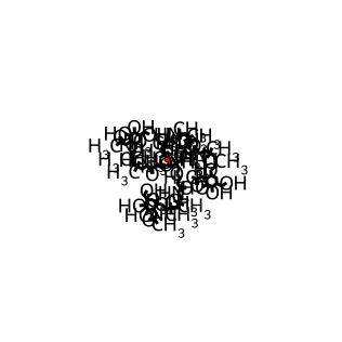 COC(C)(C)CC(C)(C)NC(=O)CC(C)(C)CC(C)(C)C(=O)NC(COCCC(=O)NCC(C)(C)CC(C)(C)COC1CC(CO)C(O)C(O)C1NC(C)=O)(COCCC(=O)NCC(C)(C)CC(C)(C)COC1OC(CO)C(O)C(O)C1NC(C)=O)COCCC(=O)NCC(C)(C)CC(C)(C)COC1OC(CO)C(O)C(O)C1NC(C)=O